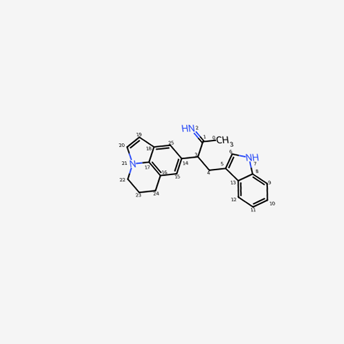 CC(=N)C(Cc1c[nH]c2ccccc12)c1cc2c3c(ccn3CCC2)c1